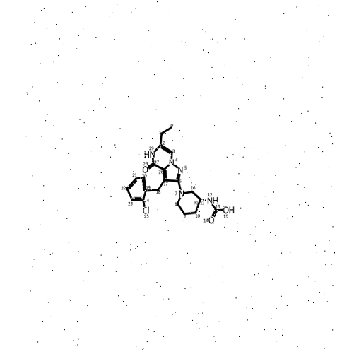 CCc1cn2nc(N3CCC[C@@H](NC(=O)O)C3)c(Cc3ccccc3Cl)c2c(=O)[nH]1